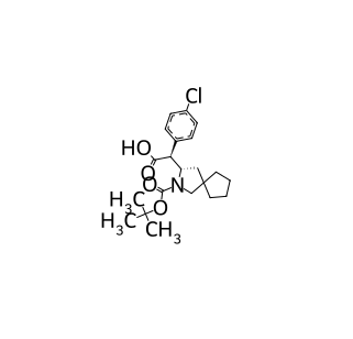 CC(C)(C)OC(=O)N1CC2(CCCC2)C[C@H]1[C@@H](C(=O)O)c1ccc(Cl)cc1